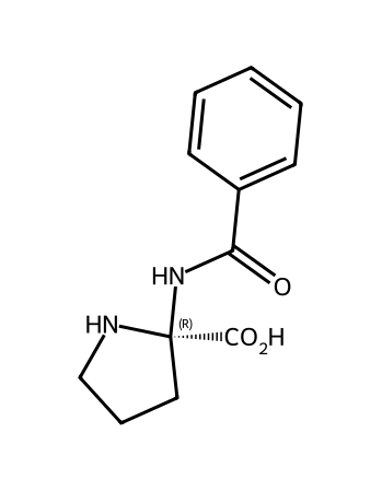 O=C(N[C@@]1(C(=O)O)CCCN1)c1ccccc1